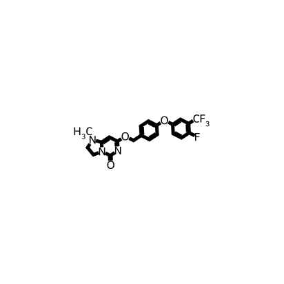 CN1CCn2c1cc(OCc1ccc(Oc3ccc(F)c(C(F)(F)F)c3)cc1)nc2=O